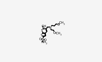 COCCCN(CCOC)CC1=Cc2cc(S(N)(=O)=O)sc2SN1C